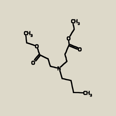 CCCCN(CCC(=O)OCC)CCC(=O)OCC